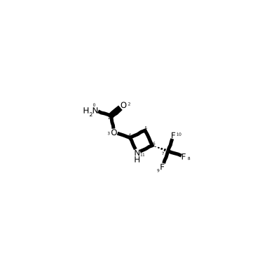 NC(=O)OC1C[C@H](C(F)(F)F)N1